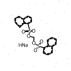 O=S(=O)(OCOS(=O)(=O)c1cccc2ccccc12)c1cccc2ccccc12.[NaH]